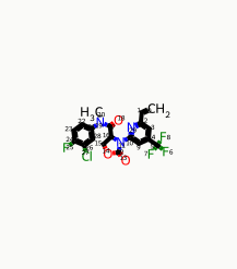 C=Cc1cc(C(F)(F)F)cc(N2C(=O)OCC2C(=O)N(C)c2ccc(F)c(Cl)c2)n1